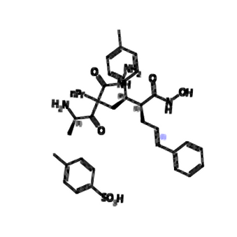 CCCC(C[C@@H](c1ccc(C)cc1)[C@H](C/C=C/c1ccccc1)C(=O)NO)(C(=O)NN)C(=O)[C@@H](C)N.Cc1ccc(S(=O)(=O)O)cc1